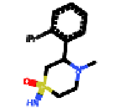 CC(C)c1ccccc1C1CS(=N)(=O)CCN1C